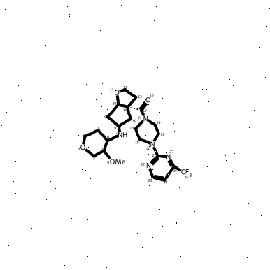 COC1COCCC1NC1CC2OCC[C@@]2(C(=O)N2CCN(c3nccc(C(F)(F)F)n3)CC2)C1